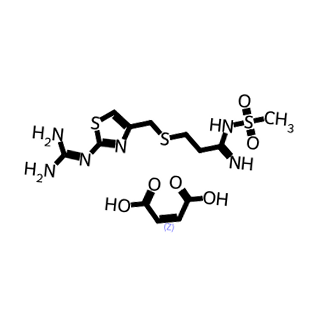 CS(=O)(=O)NC(=N)CCSCc1csc(N=C(N)N)n1.O=C(O)/C=C\C(=O)O